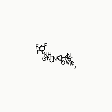 COc1cc(N2CCCN(C(=O)NCc3cc(F)cc(F)c3F)CC2)ccc1-c1cnc(C)o1